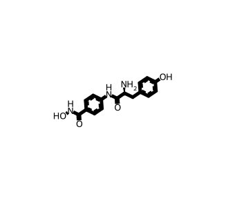 N[C@@H](Cc1ccc(O)cc1)C(=O)Nc1ccc(C(=O)NO)cc1